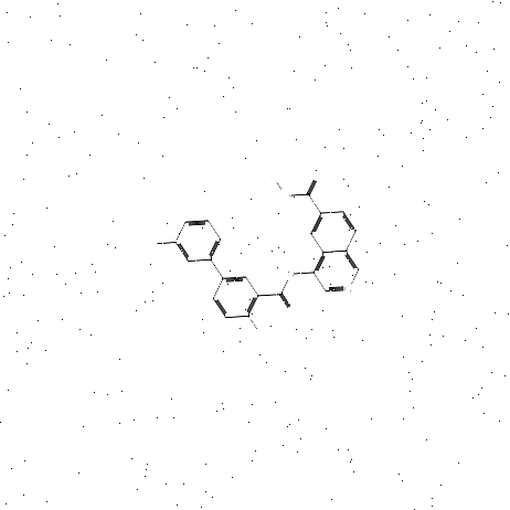 CC(C)OC(=O)c1ccc2cncc(NC(=O)c3cc(-c4cccc(F)c4)ccc3F)c2c1